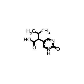 CC(C)C(C(=O)O)c1cnc(=O)[nH]c1